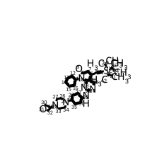 CC(C)[Si](C#Cc1cc(=O)n(-c2ccccc2)c2nc(Nc3ccc(N4CCN(C5COC5)CC4)cc3)ncc12)(C(C)C)C(C)C